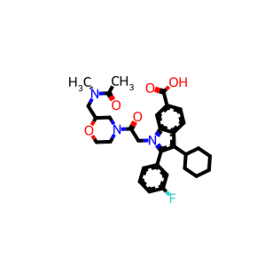 CC(=O)N(C)CC1CN(C(=O)Cn2c(-c3cccc(F)c3)c(C3CCCCC3)c3ccc(C(=O)O)cc32)CCO1